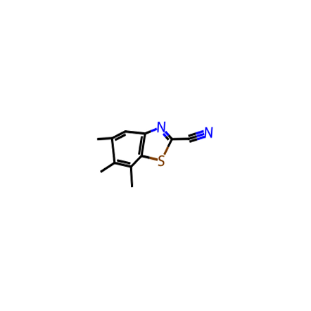 Cc1cc2nc(C#N)sc2c(C)c1C